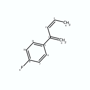 C=C(/C=C\C)c1ccc(F)cc1